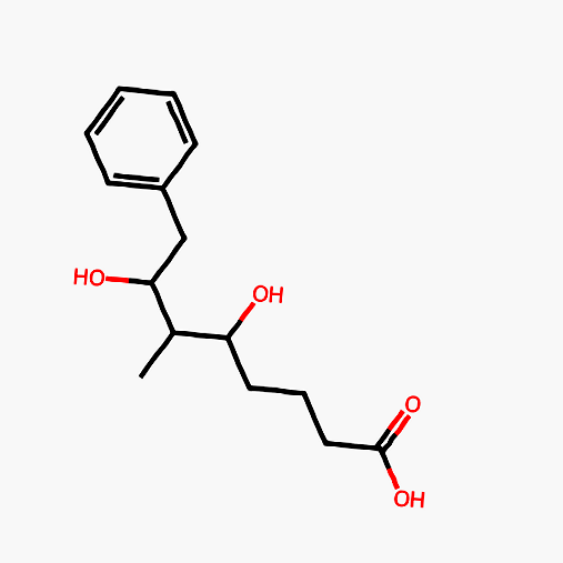 CC(C(O)CCCC(=O)O)C(O)Cc1ccccc1